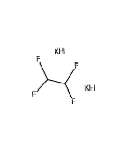 FC(F)C(F)F.[KH].[KH]